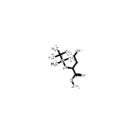 COC(=O)C(CCO)O[Si](C)(C)C(C)(C)C